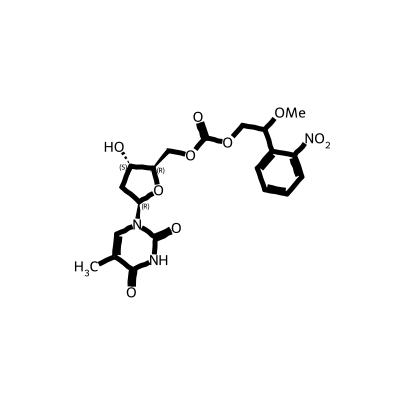 COC(COC(=O)OC[C@H]1O[C@@H](n2cc(C)c(=O)[nH]c2=O)C[C@@H]1O)c1ccccc1[N+](=O)[O-]